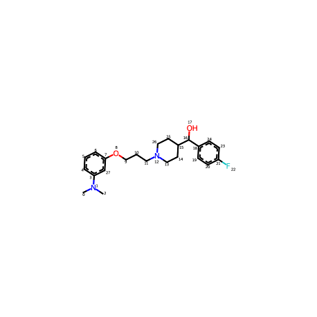 CN(C)c1cccc(OCCCN2CCC(C(O)c3ccc(F)cc3)CC2)c1